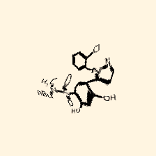 CCCCN(C)S(=O)(=O)c1cc(-c2ccnn2-c2ccccc2Cl)c(O)cc1O